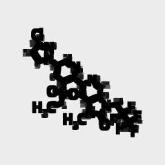 CCS(=O)(=O)c1cc(-n2ccc(Cl)n2)cnc1-c1cc2c(cn1)n(CC(F)(F)C(F)(F)F)c(=O)n2C